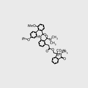 COc1cccc(C(=O)Nc2cccc(CC(=O)OC[C@@]3(C(=O)O)c4ccccc4C(=O)N3C)c2C(=O)N(C)C)c1-c1ccc(OC(C)C)cc1